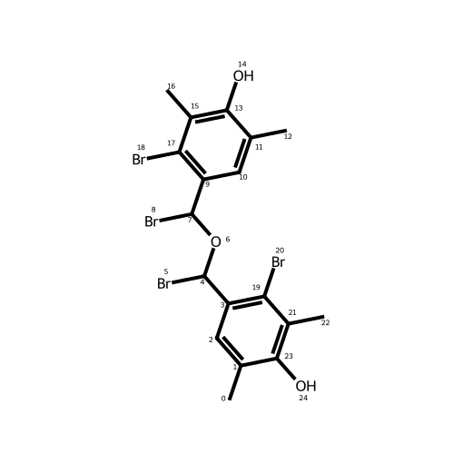 Cc1cc(C(Br)OC(Br)c2cc(C)c(O)c(C)c2Br)c(Br)c(C)c1O